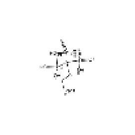 CCCC(C)CCC(P(=O)(O)O)(P(=O)(O)O)P(=O)(O)O